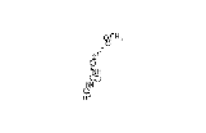 C=CC(=O)OCCCCCCOc1ccc(CNc2ccc(/N=N/c3ccc(CCC)cc3)c3ccccc23)cc1